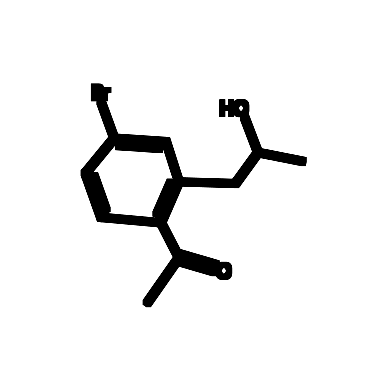 CC(=O)c1ccc(Br)cc1CC(C)O